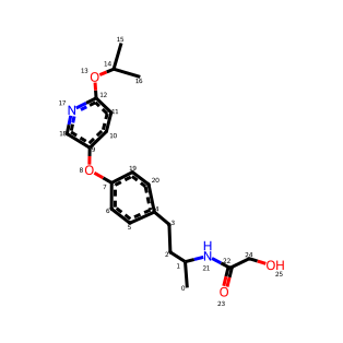 CC(CCc1ccc(Oc2ccc(OC(C)C)nc2)cc1)NC(=O)CO